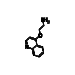 BCCOc1ccnc2ccccc12